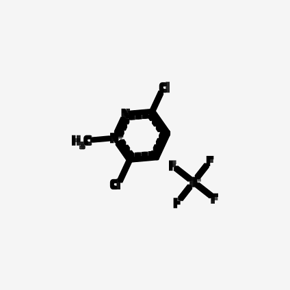 C[n+]1nc(Cl)ccc1Cl.F[B-](F)(F)F